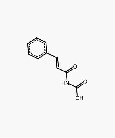 O=C(O)NC(=O)C=Cc1ccccc1